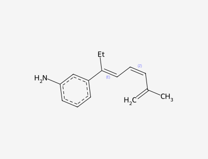 C=C(C)/C=C\C=C(/CC)c1cccc(N)c1